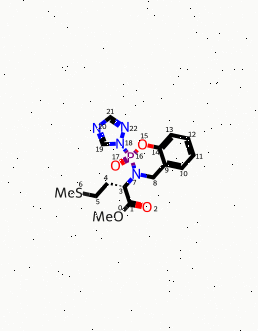 COC(=O)[C@H](CCSC)N1Cc2ccccc2OP1(=O)n1cncn1